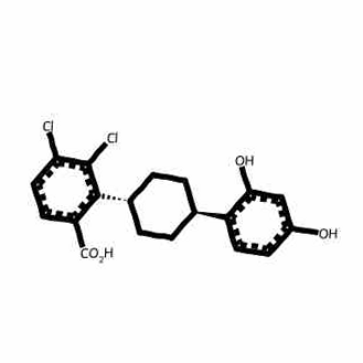 O=C(O)c1ccc(Cl)c(Cl)c1[C@H]1CC[C@H](c2ccc(O)cc2O)CC1